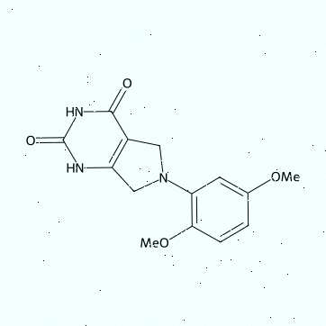 COc1ccc(OC)c(N2Cc3[nH]c(=O)[nH]c(=O)c3C2)c1